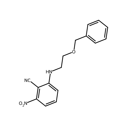 N#Cc1c(NCCOCc2ccccc2)cccc1[N+](=O)[O-]